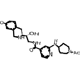 CC(=O)N1CCC(Nc2cc(C(=O)NC[C@@H](O)[C@@H]3Cc4ccc(O)cc4CN3)ccn2)CC1